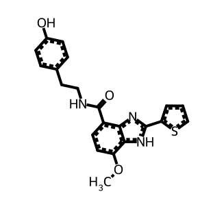 COc1ccc(C(=O)NCCc2ccc(O)cc2)c2nc(-c3cccs3)[nH]c12